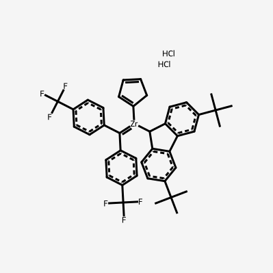 CC(C)(C)c1ccc2c(c1)-c1cc(C(C)(C)C)ccc1[CH]2[Zr]([C]1=CC=CC1)=[C](c1ccc(C(F)(F)F)cc1)c1ccc(C(F)(F)F)cc1.Cl.Cl